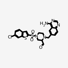 Nc1ncnc2ccc(CN3CCN(S(=O)(=O)c4cc5ccc(Cl)cc5s4)CC3C=O)cc12